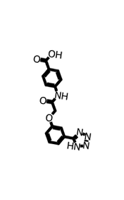 O=C(COc1cccc(-c2nnn[nH]2)c1)Nc1ccc(C(=O)O)cc1